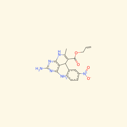 C=CCOC(=O)C1=C(C)Nc2nc(N)nc(N)c2C1c1cccc([N+](=O)[O-])c1